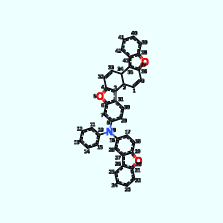 C1=CC2c3c(oc4cc(N(c5ccccc5)c5ccc6oc7ccccc7c6c5)ccc34)C=CC2c2c1oc1ccccc21